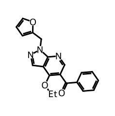 CCOc1c(C(=O)c2ccccc2)cnc2c1cnn2Cc1ccco1